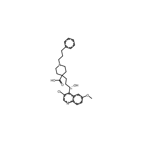 COc1ccc2ncc(Cl)c([C@@H](O)CCC3(C(=O)O)CCN(CCCc4ccccc4)CC3)c2c1